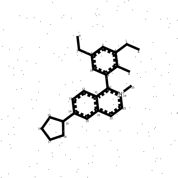 CCc1cc(CC)c(C)c(-c2c3ccc(C4CCCC4)cc3cc[n+]2C)c1